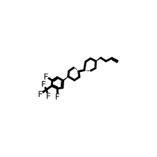 C=CCC[C@H]1CC[C@H]([C@H]2CC[C@H](c3cc(F)c(C(F)(F)F)c(F)c3)CC2)CC1